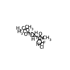 Cn1c(=O)n(C2[C@H]3CN(C(=O)OC(C)(C)C)C[C@@H]23)c2cnc(Cl)c(F)c21